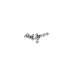 CC1CC(c2ccccc2)=CC=C1c1ccc(N(c2ccc(-c3ccccc3)cc2)c2ccccc2-c2cccc(-c3cccc4c3c3ccccc3n4-c3ccc4c(c3)oc3ccccc34)c2)cc1